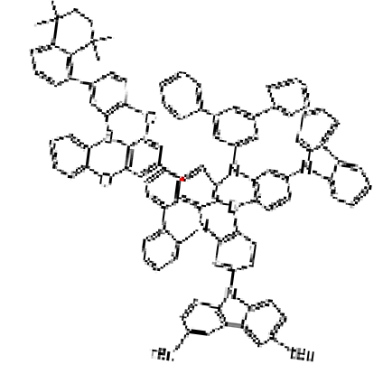 CC(C)(C)c1ccc2c(c1)c1cc(C(C)(C)C)ccc1n2-c1ccc2c(c1)N(c1ccccc1-c1ccccc1)c1cc(-c3cc4c5c(c3)Oc3ccc(-c6cccc7c6C(C)(C)CCC7(C)C)cc3B5c3ccccc3O4)cc3c1B2c1ccc(-n2c4ccccc4c4ccccc42)cc1N3c1cc(-c2ccccc2)cc(-c2ccccc2)c1